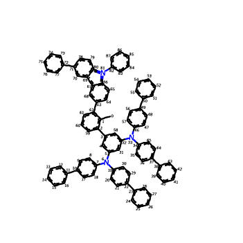 Cc1c(-c2cc(N(c3ccc(-c4ccccc4)cc3)c3ccc(-c4ccccc4)cc3)cc(N(c3ccc(-c4ccccc4)cc3)c3ccc(-c4ccccc4)cc3)c2)cccc1-c1ccc2c(c1)c1cc(-c3ccccc3)ccc1n2-c1ccccc1